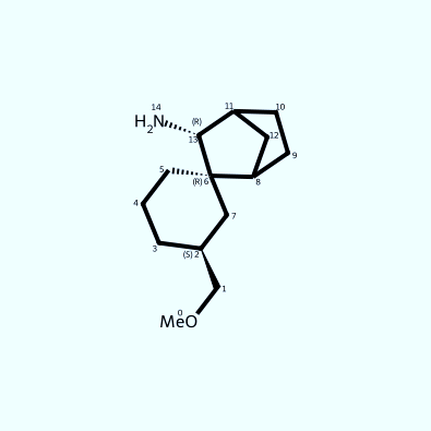 COC[C@H]1CCC[C@@]2(C1)C1CCC(C1)[C@H]2N